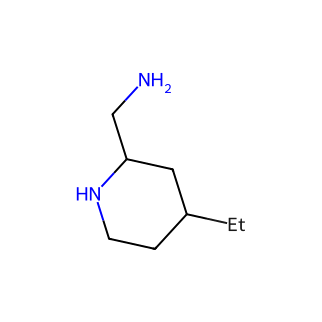 CCC1CCNC(CN)C1